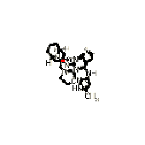 Cc1cc(Nc2nc(N[C@@H]3C[C@H]4CCC[C@@H](C3)N4[S+]([O-])CN3CCOCC3)nc3sccc23)n[nH]1